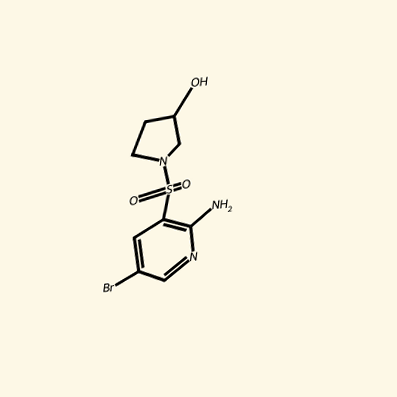 Nc1ncc(Br)cc1S(=O)(=O)N1CCC(O)C1